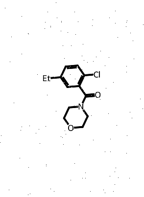 CCc1ccc(Cl)c(C(=O)N2CCOCC2)c1